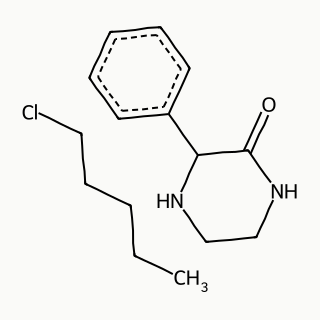 CCCCCCl.O=C1NCCNC1c1ccccc1